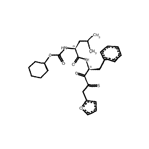 CC(C)C[C@H](NC(=O)OC1CCCCC1)C(=O)N[C@@H](Cc1ccccc1)C(=O)C(=S)Cc1ccco1